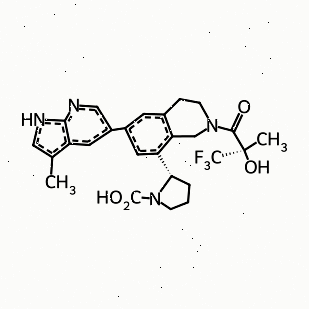 Cc1c[nH]c2ncc(-c3cc4c(c([C@@H]5CCCN5C(=O)O)c3)CN(C(=O)[C@@](C)(O)C(F)(F)F)CC4)cc12